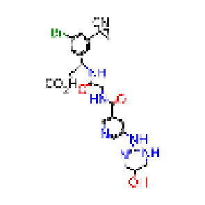 N#CC1(c2cc(Br)cc([C@H](CC(=O)O)NC(=O)CNC(=O)c3cncc(NC4=NCC(O)CN4)c3)c2)CC1